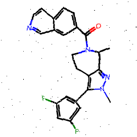 CC1c2nn(C)c(-c3cc(F)cc(F)c3)c2CCN1C(=O)c1ccc2ccncc2c1